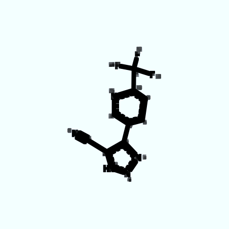 N#Cc1[nH]nnc1-c1ccc(C(F)(F)F)nc1